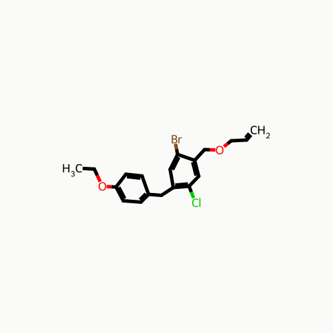 C=CCOCc1cc(Cl)c(Cc2ccc(OCC)cc2)cc1Br